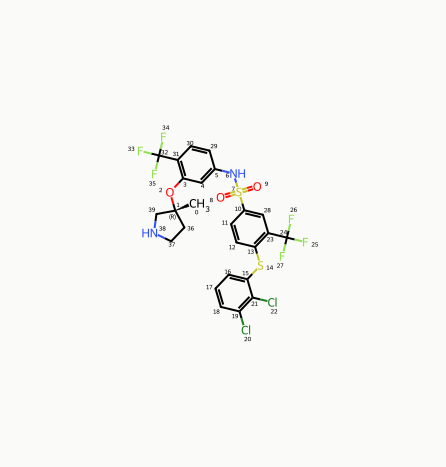 C[C@@]1(Oc2cc(NS(=O)(=O)c3ccc(Sc4cccc(Cl)c4Cl)c(C(F)(F)F)c3)ccc2C(F)(F)F)CCNC1